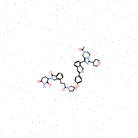 CC(=O)N1CCn2c(C3CCOCC3)nc(-c3cccc4cc(-c5ccc(O[C@H]6CCN(C(=O)CCc7cccc8c7CN(C7CCC(=O)NC7=O)C8=O)C6)cc5)ncc34)c2C1